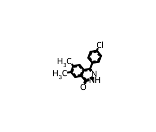 Cc1cc2c(-c3ccc(Cl)cc3)n[nH]c(=O)c2cc1C